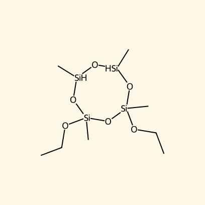 CCO[Si]1(C)O[SiH](C)O[SiH](C)O[Si](C)(OCC)O1